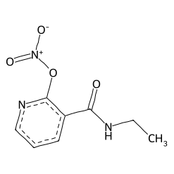 CCNC(=O)c1cccnc1O[N+](=O)[O-]